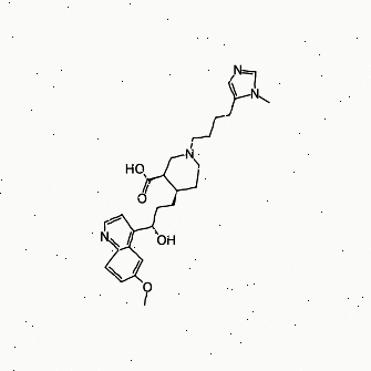 COc1ccc2nccc(C(O)CC[C@@H]3CCN(CCCCc4cncn4C)C[C@@H]3C(=O)O)c2c1